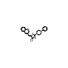 O=C1N=C(N2CCN(c3ccccc3)CC2)S/C1=C\c1cnc2ccccc2c1